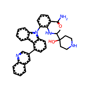 CC(Nc1c(C(N)=O)cccc1-n1c2ccccc2c2c(-c3cnc4ccccc4c3)cccc21)C1(O)CCNCC1